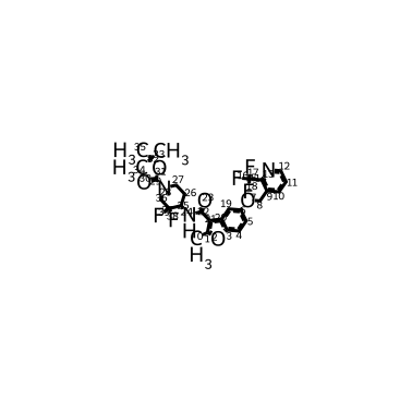 Cc1oc2ccc(OCc3cccnc3C(F)(F)F)cc2c1C(=O)NC1CCN(C(=O)OC(C)(C)C)CC1(F)F